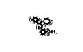 COc1ccc2nc(N3CCCC(F)(F)CC3)c(C(=O)Nc3cccc(S(N)(=O)=O)c3)cc2c1